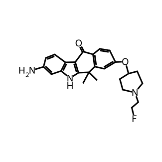 CC1(C)c2cc(OC3CCN(CCF)CC3)ccc2C(=O)c2c1[nH]c1cc(N)ccc21